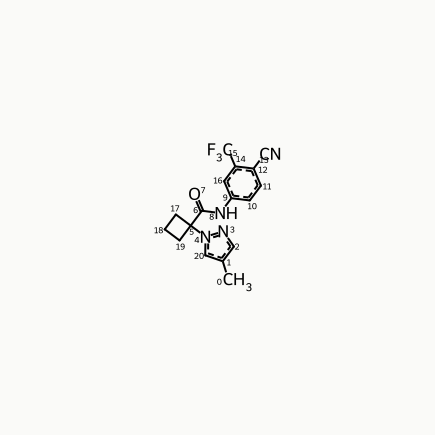 Cc1cnn(C2(C(=O)Nc3ccc(C#N)c(C(F)(F)F)c3)CCC2)c1